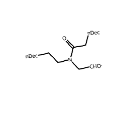 CCCCCCCCCCCCN(C[C]=O)C(=O)CCCCCCCCCCC